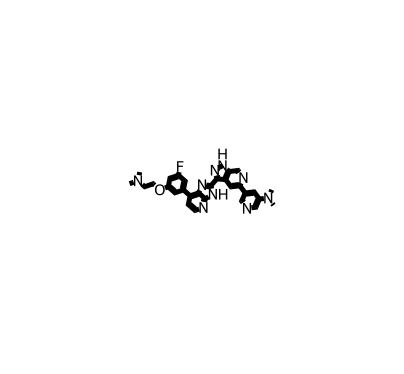 CN(C)CCOc1cc(F)cc(-c2ccnc3[nH]c(-c4n[nH]c5cnc(-c6cncc(N(C)C)c6)cc45)nc23)c1